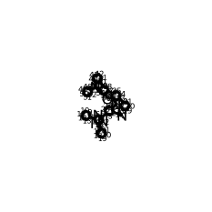 N#Cc1cc(-c2nc(-c3ccccc3)nc(-c3ccccc3)n2)ccc1-n1c2ccccc2c2ccc3c4cc5c6ccccc6n(-c6ccccc6)c5cc4oc3c21